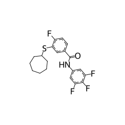 O=C(Nc1cc(F)c(F)c(F)c1)c1ccc(F)c(SC2CCCCCC2)c1